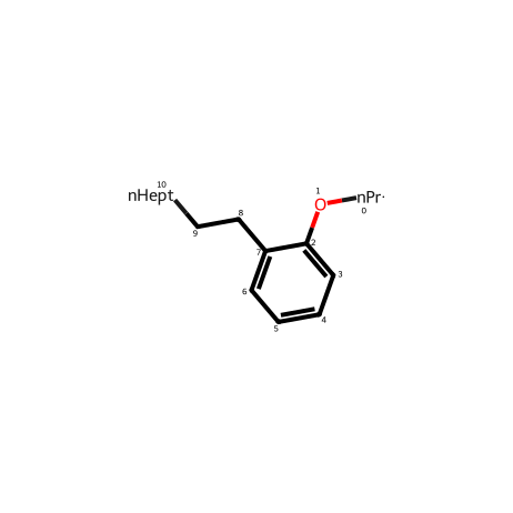 CC[CH]Oc1ccccc1CCCCCCCCC